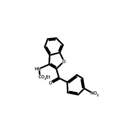 CCOC(=O)Nc1c(C(=O)c2ccc([N+](=O)[O-])cc2)oc2ccccc12